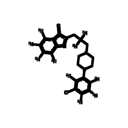 [2H]c1c([2H])c(Cl)c([2H])c(N2CCN(CC([2H])([2H])Cn3nc4c([2H])c([2H])c([2H])c([2H])n4c3=O)CC2)c1[2H]